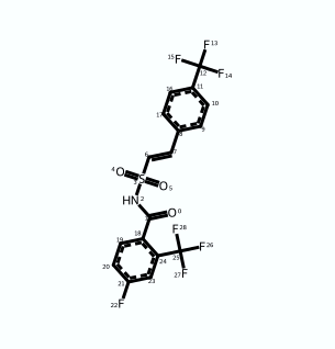 O=C(NS(=O)(=O)C=Cc1ccc(C(F)(F)F)cc1)c1ccc(F)cc1C(F)(F)F